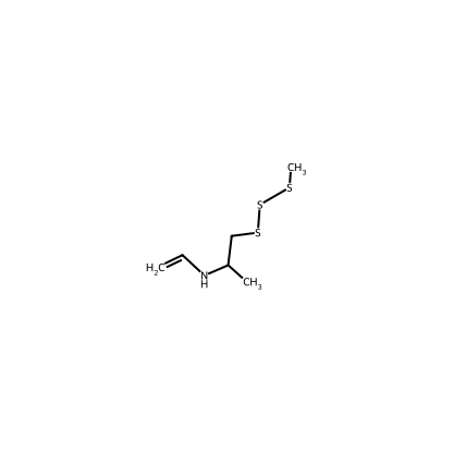 C=CNC(C)CSSSC